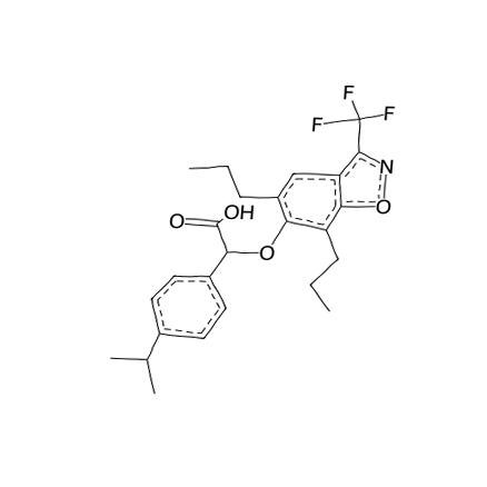 CCCc1cc2c(C(F)(F)F)noc2c(CCC)c1OC(C(=O)O)c1ccc(C(C)C)cc1